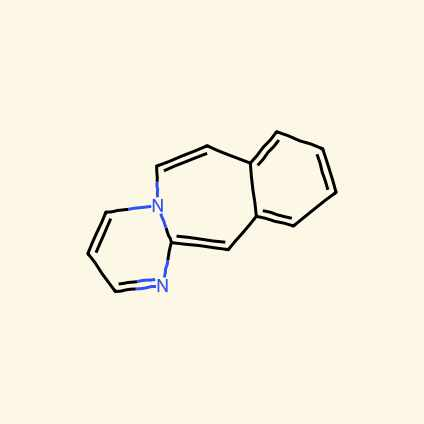 C1=CN2C=Cc3ccccc3C=C2N=C1